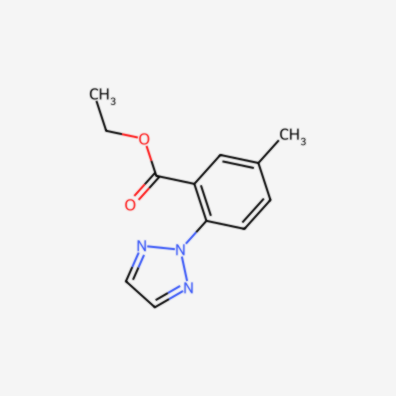 CCOC(=O)c1cc(C)ccc1-n1nccn1